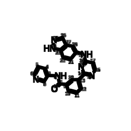 O=C(Nc1cccnc1)c1cccc(-c2nccc(Nc3ccc4[nH]ncc4c3)n2)c1